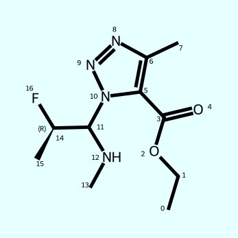 CCOC(=O)c1c(C)nnn1C(NC)[C@@H](C)F